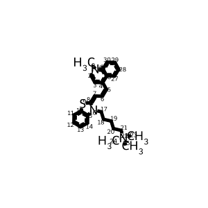 C[n+]1ccc(/C=C\C=C2\Sc3ccccc3N2CCCCC[N+](C)(C)C)c2ccccc21